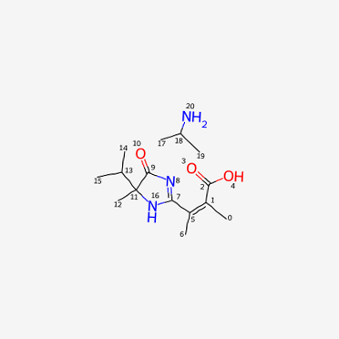 CC(C(=O)O)=C(C)C1=NC(=O)C(C)(C(C)C)N1.CC(C)N